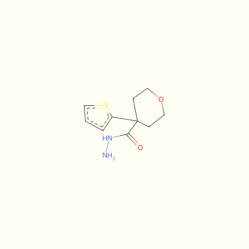 NNC(=O)C1(c2cccs2)CCOCC1